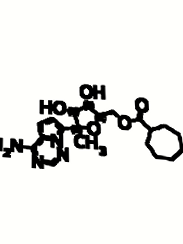 C[C@@]1(c2ccc3c(N)ncnn23)O[C@H](COC(=O)C2CCCCCC2)[C@@H](O)[C@H]1O